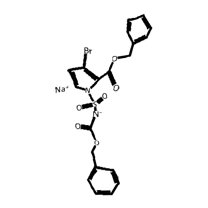 O=C([N-]S(=O)(=O)n1ccc(Br)c1C(=O)OCc1ccccc1)OCc1ccccc1.[Na+]